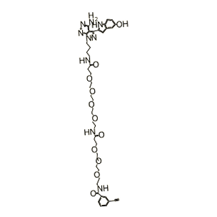 C#Cc1cccc(C(=O)NCCOCCOCCOCCC(=O)NCCOCCOCCOCCOCCC(=O)NCCCCn2nc(-c3cc4cc(O)ccc4[nH]3)c3c(N)ncnc32)c1